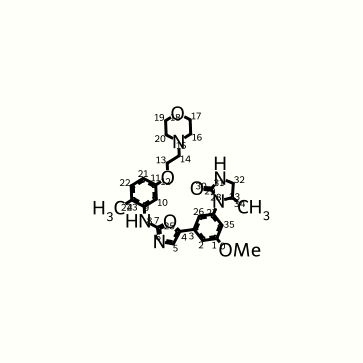 COc1cc(-c2cnc(Nc3cc(OCCN4CCOCC4)ccc3C)o2)cc(N2C(=O)NCC2C)c1